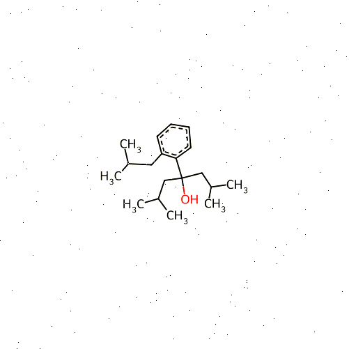 CC(C)Cc1ccccc1C(O)(CC(C)C)CC(C)C